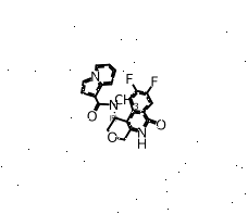 CN(C(=O)c1ccn2ccccc12)[C@H]1COCc2[nH]c(=O)c3cc(F)c(F)cc3c21